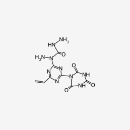 C=Cc1nc(N(N)C(=O)NN)nc(-n2c(=O)[nH]c(=O)[nH]c2=O)n1